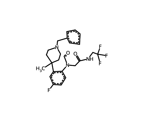 CC1(c2cc(F)ccc2N(C=O)CC(=O)NCC(F)(F)F)CCN(Cc2ccccc2)CC1